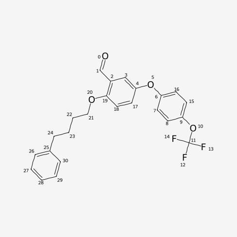 O=Cc1cc(Oc2ccc(OC(F)(F)F)cc2)ccc1OCCCCc1ccccc1